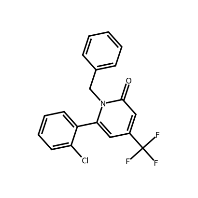 O=c1cc(C(F)(F)F)cc(-c2ccccc2Cl)n1Cc1ccccc1